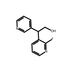 OCC(c1cccnc1)c1cccnc1F